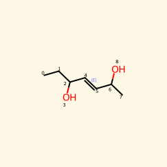 CCC(O)/C=C/C(C)O